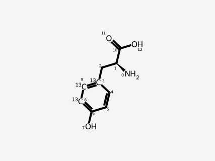 N[C@@H](C[13c]1ccc(O)[13cH][13cH]1)C(=O)O